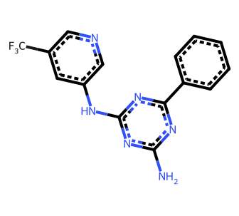 Nc1nc(Nc2cncc(C(F)(F)F)c2)nc(-c2ccccc2)n1